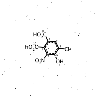 O=C(O)c1cc(Cl)c(O)c([N+](=O)[O-])c1C(=O)O